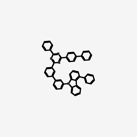 c1ccc(-c2ccc(-c3nc(-c4ccccc4)nc(-c4cccc(-c5cccc(-n6c7ccccc7c7c(-c8ccccc8)cccc76)c5)c4)n3)cc2)cc1